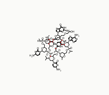 CNP(=O)(OCC1CN(P(=O)(OCC2CN(P(=O)(OCC3CN(P(=O)(OCC4CN(P(=O)(OCC5CN(P(=O)(OCC6CN(C(C)C)CC(n7ccc(N)nc7=O)O6)N(C)C)CC(C)O5)N(C)C)CC(n5cnc6c(N)ncnc65)O4)N(C)C)CC(n4cnc5c(=O)[nH]c(N)nc54)O3)N(C)C)CC(n3cc(C)c(=O)[nH]c3=O)O2)N(C)C)CC(n2ccc(N)nc2=O)O1)N1CCN(C(=O)OCCOCCOCCO)CC1